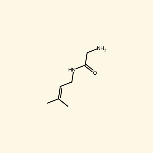 CC(C)=CCNC(=O)CN